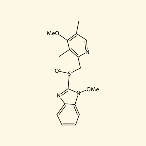 COc1c(C)cnc(C[S+]([O-])c2nc3ccccc3n2OC)c1C